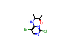 CC(=O)C(C)Nc1nc(Cl)ncc1Br